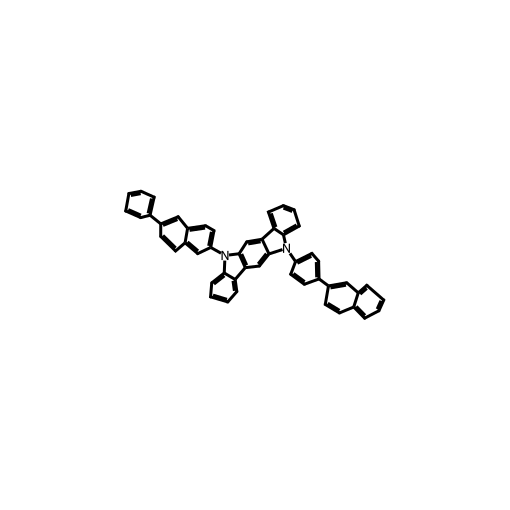 c1ccc(-c2ccc3cc(-n4c5ccccc5c5cc6c(cc54)c4ccccc4n6-c4ccc(-c5ccc6ccccc6c5)cc4)ccc3c2)cc1